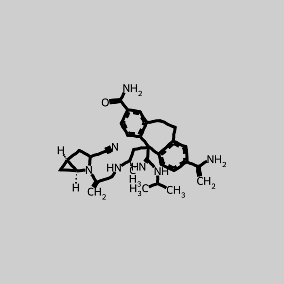 C=C(N)c1ccc2c(c1)CCc1cc(C(N)=O)ccc1C2(C[C@H](C)NCC(=C)N1C(C#N)C[C@@H]2C[C@@H]21)C(=N)NC(C)C